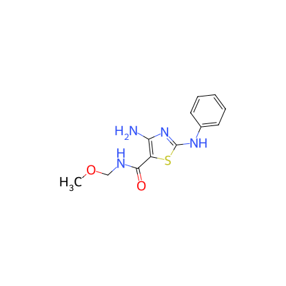 COCNC(=O)c1sc(Nc2ccccc2)nc1N